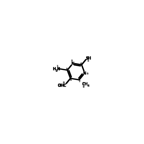 C.Nc1nc(S)ncc1C=O